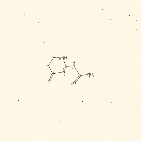 NC(=O)NC1=NC(=O)CCN1